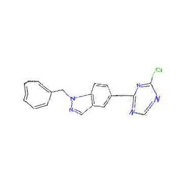 Clc1n[c]nc(-c2ccc3c(cnn3Cc3ccccc3)c2)n1